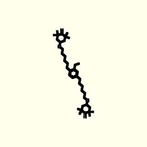 CCc1cc(CCCCCCOC2CC(C)(C)NC(C)(C)C2)ccc1CCCCCCOC1CC(C)(C)NC(C)(C)C1